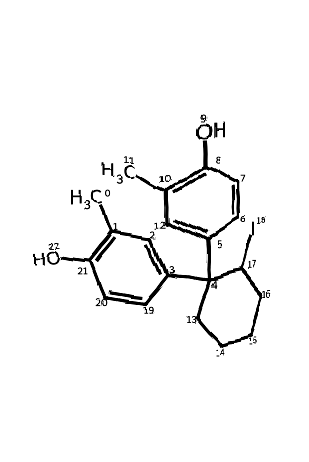 Cc1cc(C2(c3ccc(O)c(C)c3)CCCCC2I)ccc1O